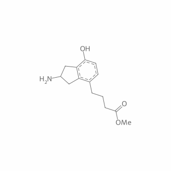 COC(=O)CCCc1ccc(O)c2c1CC(N)C2